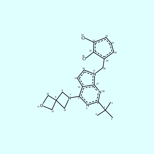 CC(C)(C)c1nc(N2CC3(COC3)C2)c2ccn(Cc3cccc(Cl)c3Cl)c2n1